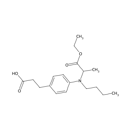 CCCCN(c1ccc(CCC(=O)O)cc1)C(C)C(=O)OCC